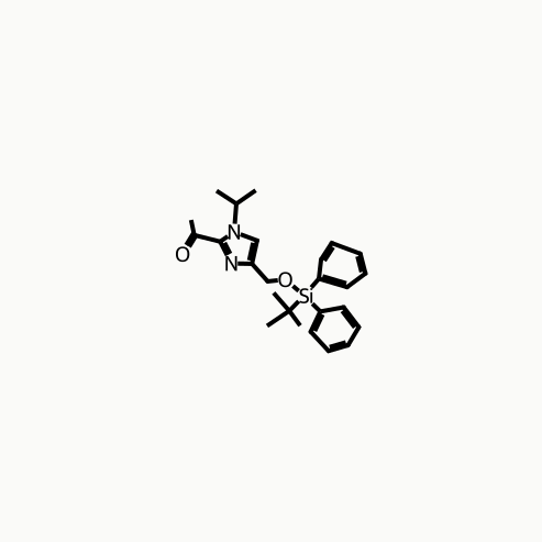 CC(=O)c1nc(CO[Si](c2ccccc2)(c2ccccc2)C(C)(C)C)cn1C(C)C